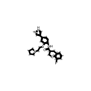 O=C(Nc1ccc(-c2cn[nH]c2)cc1SCCN1CCCC1)C1COc2c(F)cccc2C1